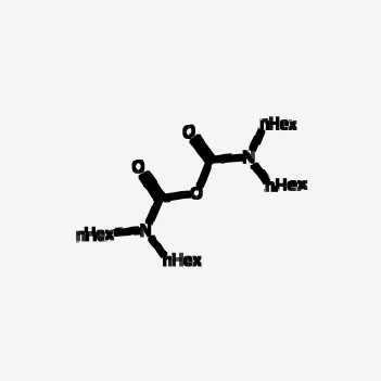 CCCCCCN(CCCCCC)C(=O)OC(=O)N(CCCCCC)CCCCCC